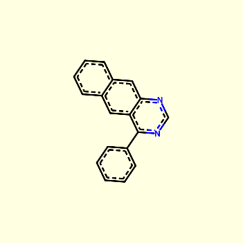 c1ccc(-c2ncnc3cc4ccccc4cc23)cc1